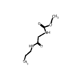 CCCNC(=O)CNC(=O)OC